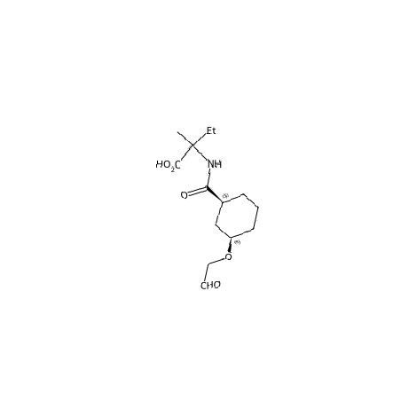 CCC(C)(NC(=O)[C@H]1CCC[C@@H](OCC=O)C1)C(=O)O